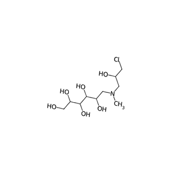 CN(CC(O)CCl)CC(O)C(O)C(O)C(O)CO